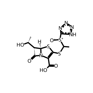 CC(SC1=C(C(=O)O)N2C(=O)[C@H]([C@@H](C)O)[C@H]2S1)[S+]([O-])c1nnn[nH]1